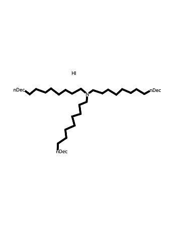 CCCCCCCCCCCCCCCCCCN(CCCCCCCCCCCCCCCCCC)CCCCCCCCCCCCCCCCCC.I